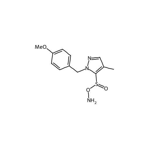 COc1ccc(Cn2ncc(C)c2S(=O)ON)cc1